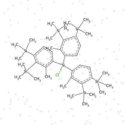 Cc1c([Si](Cl)(c2ccc([Si](C)(C)C)c([Si](C)(C)C)c2C)c2ccc([Si](C)(C)C)c([Si](C)(C)C)c2C)ccc([Si](C)(C)C)c1[Si](C)(C)C